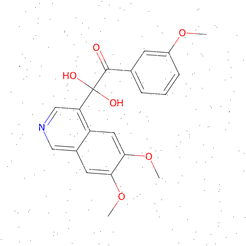 COc1cccc(C(=O)C(O)(O)c2cncc3cc(OC)c(OC)cc23)c1